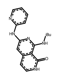 CCC(C)Nc1nc(Nc2ccccn2)cc2cc[nH]c(=O)c12